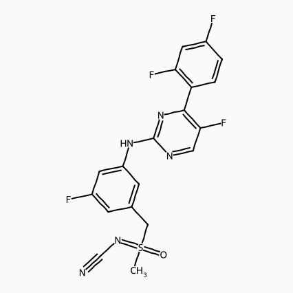 CS(=O)(Cc1cc(F)cc(Nc2ncc(F)c(-c3ccc(F)cc3F)n2)c1)=NC#N